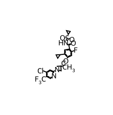 CC1(COc2cc(F)c(C(=O)NS(=O)(=O)C3CC3)cc2C2CC2)CN(c2cc(Cl)c(C(F)(F)F)cn2)C1